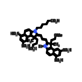 CC[N+]1=C(/C=C/C=C2/N(CCCCCC(=O)O)c3ccc4c(S(=O)(=O)O)cc(S(=O)(=O)O)cc4c3C2(C)CCCS(=O)(=O)O)C(C)(CCOC)c2c1ccc1c(S(=O)(=O)O)cc(S(=O)(=O)O)cc21